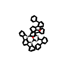 c1ccc(-c2ccc(-n3c4ccccc4c4ccc5c6ccccc6n(-c6nc(-c7ccccc7-c7ccccc7)nc(-c7cccc8c7oc7cccc(-c9ccccc9)c78)n6)c5c43)cc2)cc1